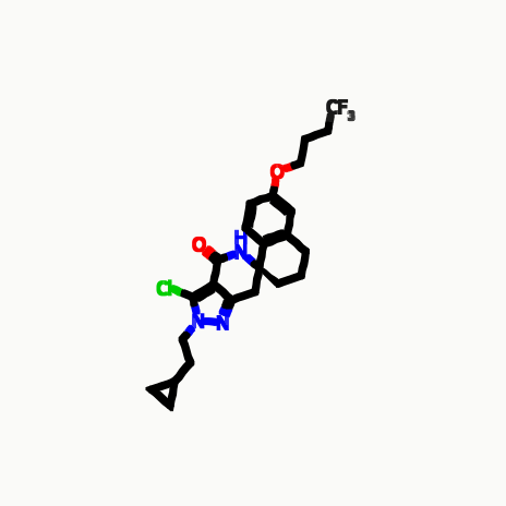 O=C1N[C@@]2(CCCc3cc(OCCCC(F)(F)F)ccc32)Cc2nn(CCC3CC3)c(Cl)c21